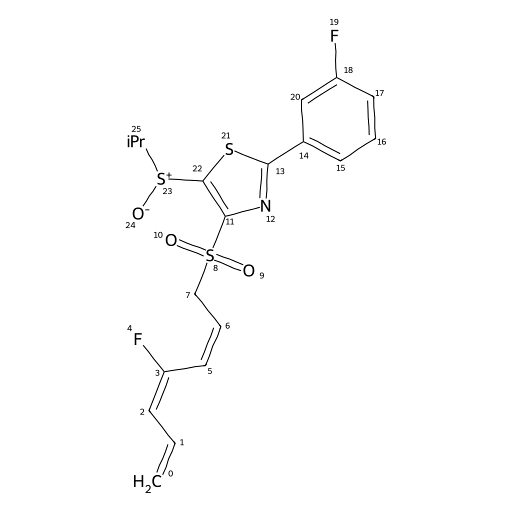 C=C/C=C(F)\C=C/CS(=O)(=O)c1nc(-c2cccc(F)c2)sc1[S+]([O-])C(C)C